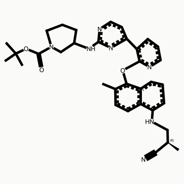 Cc1ccc2c(NC[C@@H](C)C#N)cccc2c1Oc1ncccc1-c1ccnc(NC2CCCN(C(=O)OC(C)(C)C)C2)n1